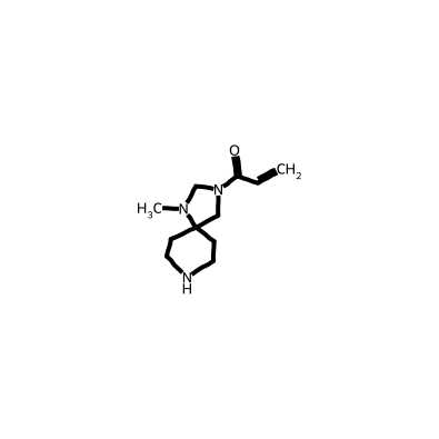 C=CC(=O)N1CN(C)C2(CCNCC2)C1